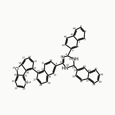 c1ccc2cc(C3N=C(c4ccc5c(-c6cccc7oc8cccnc8c67)cccc5c4)NC(c4ccc5ccccc5c4)N3)ccc2c1